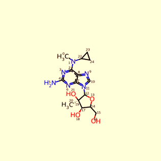 CN(c1nc(N)nc2c1ncn2C1OC(CO)[C@@H](O)[C@@]1(C)O)C1CC1